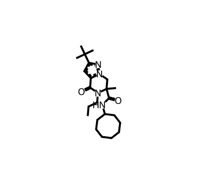 CCCN1C(=O)c2cc(C(C)(C)C)nn2CC1(C)C(=O)NC1CCCCCCC1